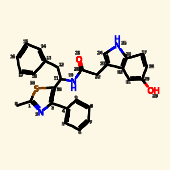 Cc1nc(-c2ccccc2)c(C(Cc2ccccc2)NC(=O)Cc2c[nH]c3ccc(O)cc23)s1